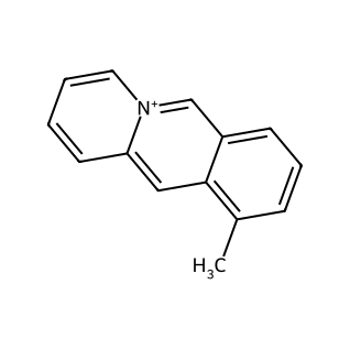 Cc1cccc2c[n+]3ccccc3cc12